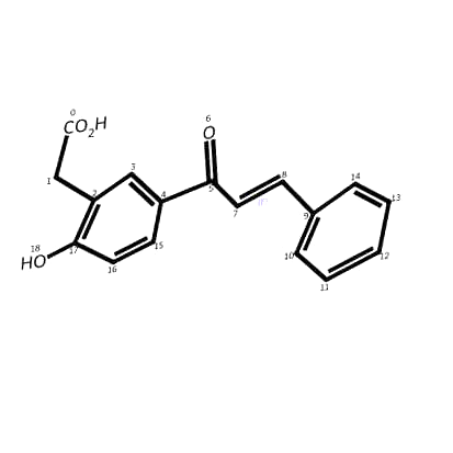 O=C(O)Cc1cc(C(=O)/C=C/c2ccccc2)ccc1O